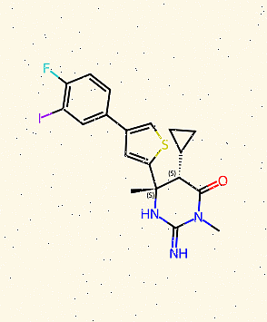 CN1C(=N)N[C@](C)(c2cc(-c3ccc(F)c(I)c3)cs2)[C@H](C2CC2)C1=O